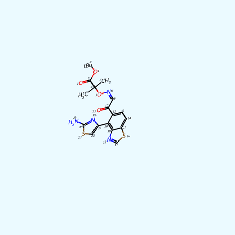 CC(C)(C)OC(=O)C(C)(C)O/N=C\C(=O)c1ccc2s[c]nc2c1-c1csc(N)n1